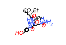 CCOC(=O)CCCCCC(=O)NC(C(=O)NC(CCCNC(N)=O)C(=O)Nc1ccc(CO)cc1)C(C)C